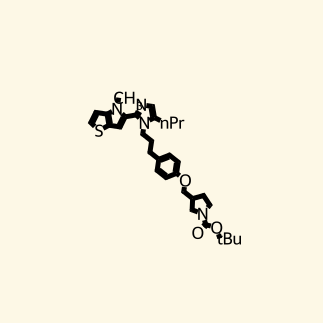 CCCc1cnc(-c2cc3sccc3n2C)n1CCCc1ccc(OCC2CCN(C(=O)OC(C)(C)C)C2)cc1